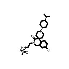 CC(C)[C@H]1CC[C@@H](N2CCC3(CC2)C(=O)N(CCNS(C)(=O)=O)Cc2cc(Cl)ccc23)CC1